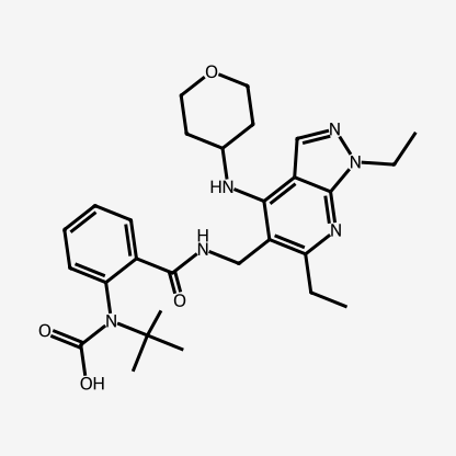 CCc1nc2c(cnn2CC)c(NC2CCOCC2)c1CNC(=O)c1ccccc1N(C(=O)O)C(C)(C)C